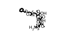 CON=C(C(=O)N[C@@H]1C(=O)N2C(C(=O)O)=C(C(=S)c3nc(C)c(CC(=O)OCc4ccccc4)s3)CS[C@@H]12)c1csc(N)n1